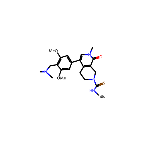 CCCCNC(=S)N1CCc2c(-c3cc(OC)c(CN(C)C)c(OC)c3)cn(C)c(=O)c2C1